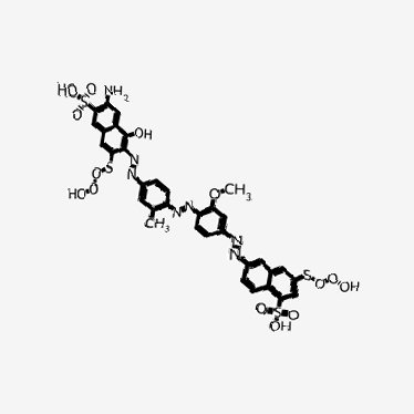 COc1cc(N=Nc2ccc3c(S(=O)(=O)O)cc(SOOO)cc3c2)ccc1N=Nc1ccc(N=Nc2c(SOOO)cc3cc(S(=O)(=O)O)c(N)cc3c2O)cc1C